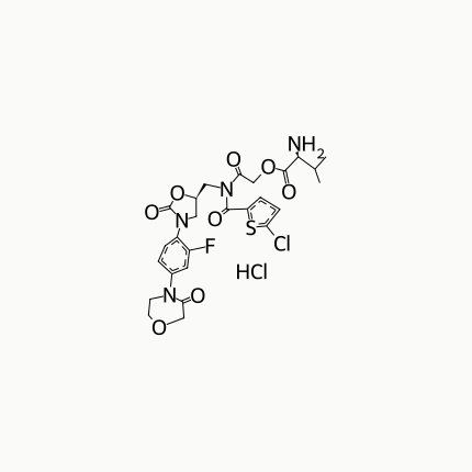 CC(C)[C@H](N)C(=O)OCC(=O)N(C[C@H]1CN(c2ccc(N3CCOCC3=O)cc2F)C(=O)O1)C(=O)c1ccc(Cl)s1.Cl